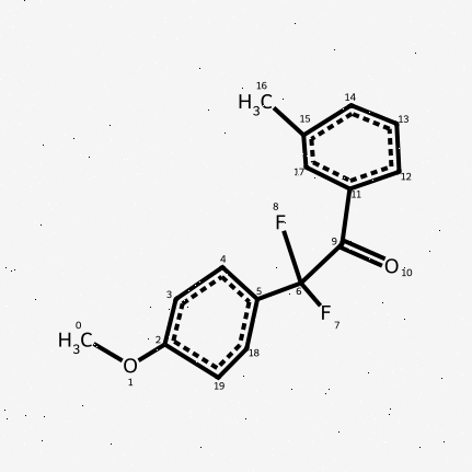 COc1ccc(C(F)(F)C(=O)c2cccc(C)c2)cc1